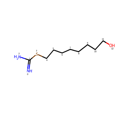 N=C(N)SCCCCCCCCO